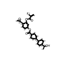 C=C(F)C(=O)Oc1cc(OC(=O)c2ccc(-c3ccc(C(C)O)cc3)cc2)ccc1C1CO1